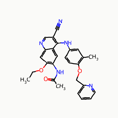 CCOc1cc2ncc(C#N)c(Nc3ccc(OCc4ccccn4)c(C)c3)c2cc1NC(C)=O